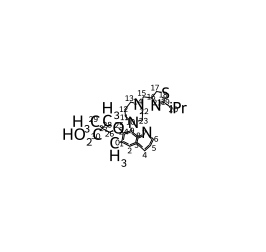 Cc1cc2cccnc2c(N2CCCN(CC3CSC(C(C)C)=N3)CC2)c1OCC(C)(C)C(=O)O